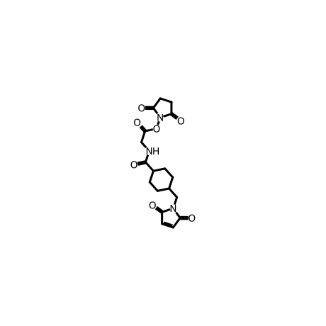 O=C(CNC(=O)C1CCC(CN2C(=O)C=CC2=O)CC1)ON1C(=O)CCC1=O